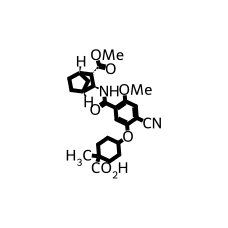 COC(=O)[C@H]1[C@@H]2CC[C@@H](C2)[C@H]1NC(=O)c1cc(OC2CCC(C)(C(=O)O)CC2)c(C#N)cc1OC